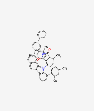 CC1C=CC(n2c3c(-c4ccc(C#N)cc4C#N)cccc3c3cccc(-c4ccc(C#N)cc4C#N)c32)=C2C(=O)N(c3cc(-c4ccccc4)ccc3-c3ccccc3)C(=O)C21